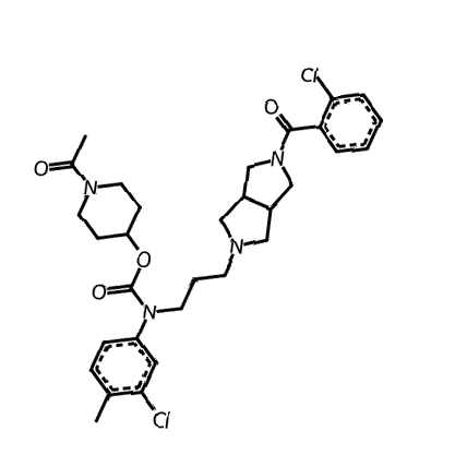 CC(=O)N1CCC(OC(=O)N(CCCN2CC3CN(C(=O)c4ccccc4Cl)CC3C2)c2ccc(C)c(Cl)c2)CC1